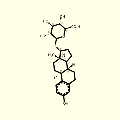 C[C@]12CC[C@@H]3c4ccc(O)cc4CC[C@H]3[C@@H]1CC[C@@H]2OC1O[C@H](C(=O)O)[C@@H](O)[C@H](O)[C@H]1O